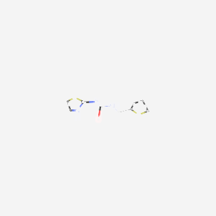 O=C(N=c1[nH]ccs1)NCc1cccs1